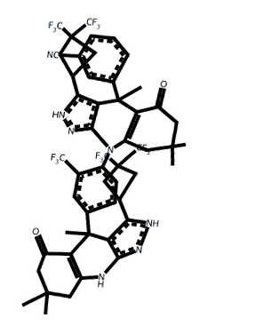 CC1(C)CC(=O)C2=C(C1)Nc1n[nH]c(C3CC(C(F)(F)F)(C(F)(F)F)C3)c1C2(C)c1ccc(N2C3=C(C(=O)CC(C)(C)C3)C(C)(c3cccc(C#N)c3)c3c2n[nH]c3C2CC(C(F)(F)F)(C(F)(F)F)C2)c(C(F)(F)F)c1